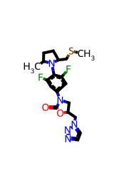 CSCC1CCC(C)N1c1c(F)cc(N2CC(Cn3ccnn3)OC2=O)cc1F